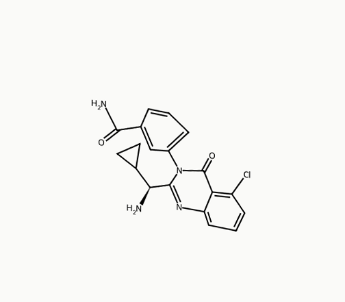 NC(=O)c1cccc(-n2c([C@@H](N)C3CC3)nc3cccc(Cl)c3c2=O)c1